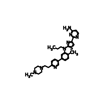 CCCN(c1nc(-c2nccc(N)n2)cs1)c1cc(-c2ccc(CCN3CCN(C)CC3)nc2)ccc1C